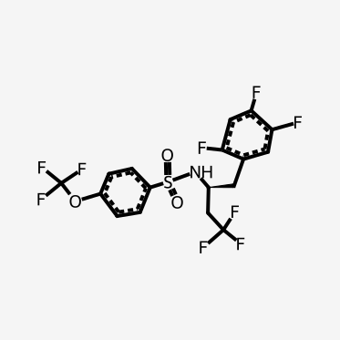 O=S(=O)(N[C@@H](Cc1cc(F)c(F)cc1F)CC(F)(F)F)c1ccc(OC(F)(F)F)cc1